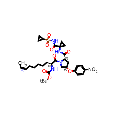 C/C=C\CCCCC[C@H](NC(=O)OC(C)(C)C)C(=O)N1C[C@H](Oc2ccc([N+](=O)[O-])cc2)C[C@H]1C(=O)NC1(C(=O)NS(=O)(=O)C2CC2)CC1